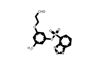 Cc1cc(OCCC=O)cc(OS(=O)(=O)c2cccc3nsnc23)c1